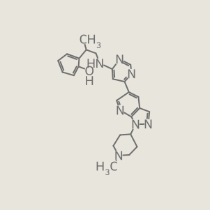 CC(CNc1cc(-c2cnc3c(cnn3C3CCN(C)CC3)c2)ncn1)c1ccccc1O